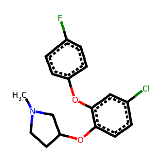 CN1CCC(Oc2ccc(Cl)cc2Oc2ccc(F)cc2)C1